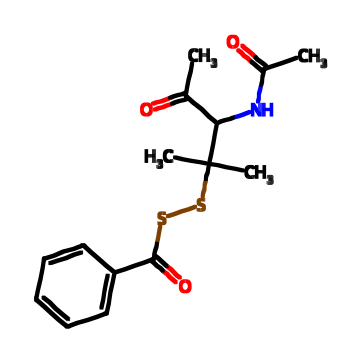 CC(=O)NC(C(C)=O)C(C)(C)SSC(=O)c1ccccc1